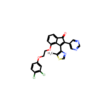 Cc1scnc1C1=C(c2cncnc2)C(=O)c2cccc(OCCOc3ccc(Cl)c(Cl)c3)c21